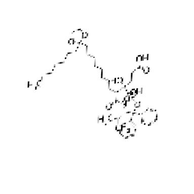 CCCCCCCC1(CCCCCC/C=C/[C@H](C(=O)N2C(=S)OC(c3ccccc3)(c3ccccc3)[C@@H]2C(C)C)[C@@](O)(CCC(=O)O)C(=O)O)OCCO1